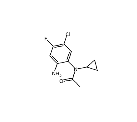 CC(=O)N(c1cc(Cl)c(F)cc1N)C1CC1